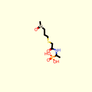 CC(NC(=O)CSCCC[Si](C)=O)P(=O)(O)O